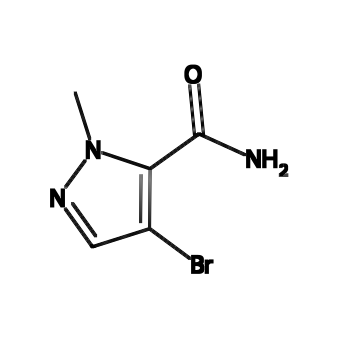 Cn1ncc(Br)c1C(N)=O